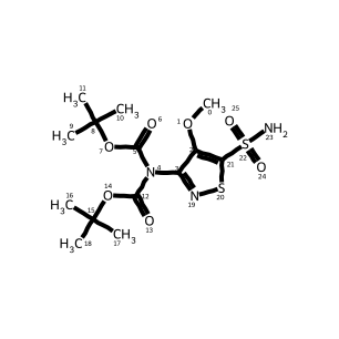 COc1c(N(C(=O)OC(C)(C)C)C(=O)OC(C)(C)C)nsc1S(N)(=O)=O